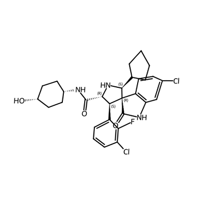 O=C(N[C@H]1CC[C@@H](O)CC1)[C@@H]1N[C@@H](C2CCCC2)[C@@]2(C(=O)Nc3cc(Cl)ccc32)[C@H]1c1cccc(Cl)c1F